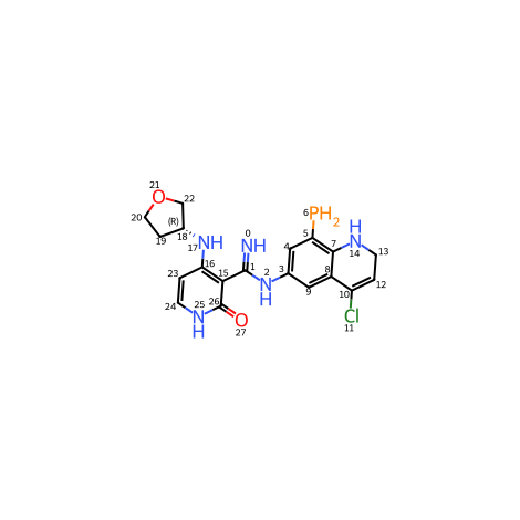 N=C(Nc1cc(P)c2c(c1)C(Cl)=CCN2)c1c(N[C@@H]2CCOC2)cc[nH]c1=O